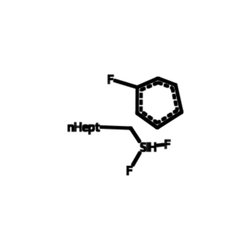 CCCCCCCC[SiH](F)F.Fc1ccccc1